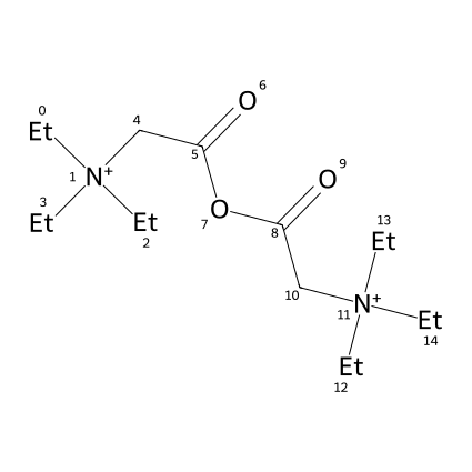 CC[N+](CC)(CC)CC(=O)OC(=O)C[N+](CC)(CC)CC